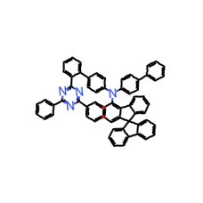 c1ccc(-c2ccc(N(c3ccc(-c4ccccc4-c4nc(-c5ccccc5)nc(-c5ccccc5)n4)cc3)c3cccc4c3-c3ccccc3C43c4ccccc4-c4ccccc43)cc2)cc1